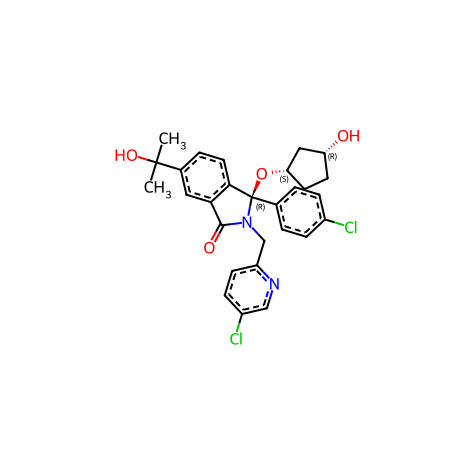 CC(C)(O)c1ccc2c(c1)C(=O)N(Cc1ccc(Cl)cn1)[C@@]2(O[C@H]1CC[C@@H](O)C1)c1ccc(Cl)cc1